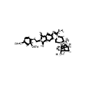 COc1ccc(CCN2C(=O)c3ccc(N=C(N)N4CCN([C@H]5C[C@@H]6C[C@@H]([C@H]5C)C6(C)C)[C@@H](C)C4)cc3C2=O)c(OC)c1